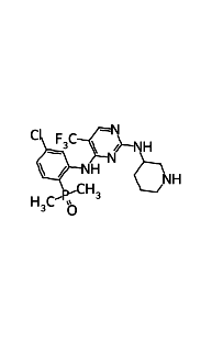 CP(C)(=O)c1ccc(Cl)cc1Nc1nc(NC2CCCNC2)ncc1C(F)(F)F